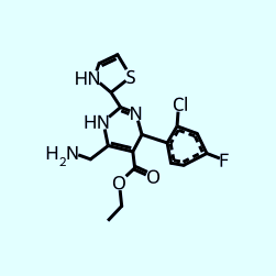 CCOC(=O)C1=C(CN)NC(C2NC=CS2)=NC1c1ccc(F)cc1Cl